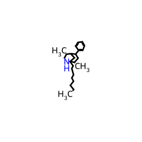 CCCCCCCCC12CC(C(C)CN1)C(c1ccccc1)CC2C